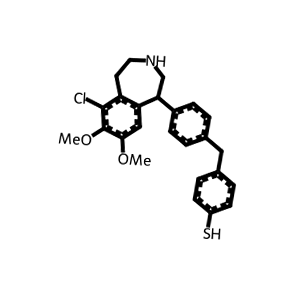 COc1cc2c(c(Cl)c1OC)CCNCC2c1ccc(Cc2ccc(S)cc2)cc1